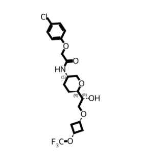 O=C(COc1ccc(Cl)cc1)N[C@H]1CC[C@H]([C@H](O)CO[C@H]2C[C@@H](OC(F)(F)F)C2)OC1